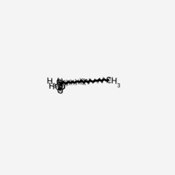 CCCCCCCCCCCCCCCCCCCCCC(C)O[PH](=O)O